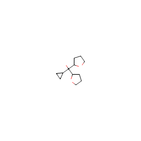 OC(C1CC1)(C1CCCO1)C1CCCO1